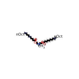 CCCCCCCC/C=C\CC/C=C/CCCC(=O)OCCN(C)CCOC(=O)CCCCCCC/C=C\CCCCCCCC